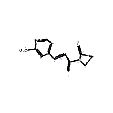 COc1cccc(/C=C/C(=O)N2CCC2=O)c1